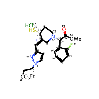 CCOC(=O)CCn1ccc(/C=C2\CN([C@H](C(=O)OC)c3ccccc3F)CC[C@H]2S)n1.Cl